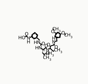 CCC(NC(=O)[C@H](CC(C)C)NC(=O)NCc1cccc(NC(=O)O)c1)C(=O)C(=O)NCc1cc(OC)cc(OC)c1